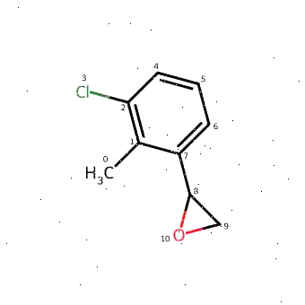 Cc1c(Cl)cccc1C1CO1